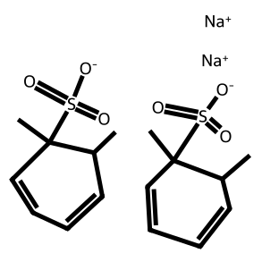 CC1C=CC=CC1(C)S(=O)(=O)[O-].CC1C=CC=CC1(C)S(=O)(=O)[O-].[Na+].[Na+]